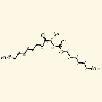 CCCCCCCCCCCCCCCCOC(=O)CCC(=O)OCCCCCCCCCCCCCCCC.[Na]